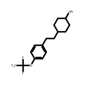 CCCC1CCC(CCc2ccc(OC(F)(F)C(F)(F)F)cc2)CC1